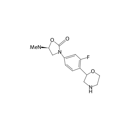 CN[C@@H]1CN(c2ccc(C3CNCCO3)c(F)c2)C(=O)O1